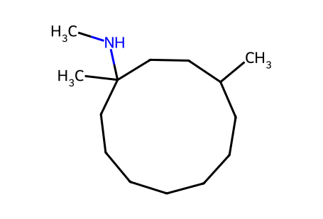 CNC1(C)CCCCCCCC(C)CC1